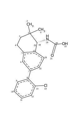 CC1(C)CCc2cc(-c3ccccc3Cl)ccc2[C@H]1NC(=O)O